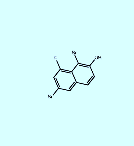 Oc1ccc2cc(Br)cc(F)c2c1Br